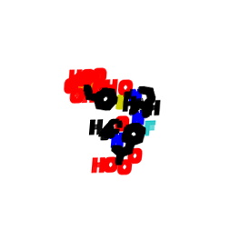 COc1c(N2C[C@H]3CCCN(C(=O)Sc4ccc(CC(P(=O)(O)O)P(=O)(O)O)cc4)[C@H]3C2)c(F)cc2c(=O)c(C(=O)O)cn(C3CC3)c12